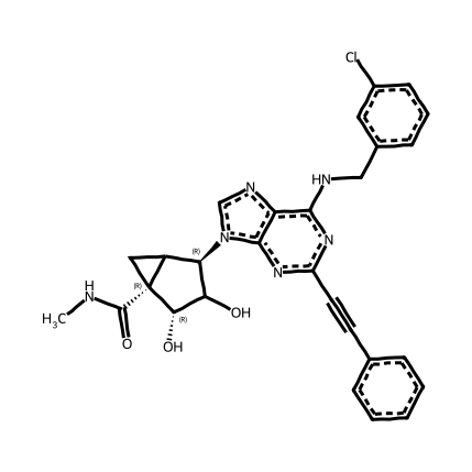 CNC(=O)[C@]12CC1[C@@H](n1cnc3c(NCc4cccc(Cl)c4)nc(C#Cc4ccccc4)nc31)C(O)[C@@H]2O